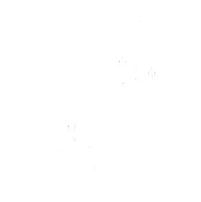 Cc1ccc(S(=O)(=O)OCCCC2CC3(CCCC3)C(=O)O2)cc1